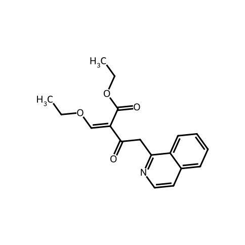 CCOC=C(C(=O)Cc1nccc2ccccc12)C(=O)OCC